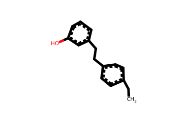 CCc1ccc(CCc2cccc(O)c2)cc1